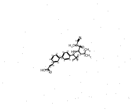 CC(C)CC(NC(c1ccc(-c2cccc(C=CC(=O)O)c2)cc1)C(F)(F)F)C(=O)N(C)C#N